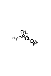 C=CCN(CC=C)c1ccc(-c2ccc(C(F)(F)F)cc2)cc1